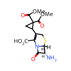 COC(=O)C1(C(=O)OC)CC1C1=C(C(=O)O)N2C(=O)[C@@H](N)[C@H]2SC1